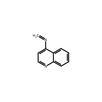 C=Nc1ccnc2ccccc12